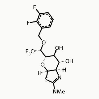 CNC1=N[C@@H]2[C@@H](O)[C@H](O)[C@@H]([C@@H](OCc3cccc(F)c3F)C(F)(F)F)O[C@@H]2S1